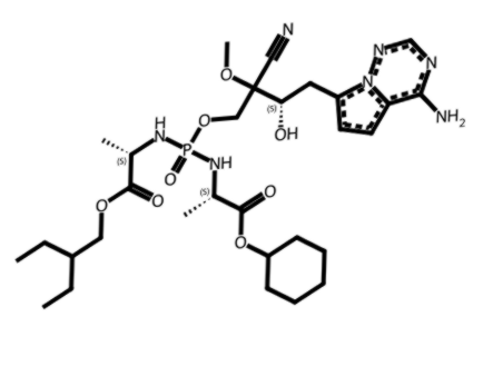 CCC(CC)COC(=O)[C@H](C)NP(=O)(N[C@@H](C)C(=O)OC1CCCCC1)OCC(C#N)(OC)[C@@H](O)Cc1ccc2c(N)ncnn12